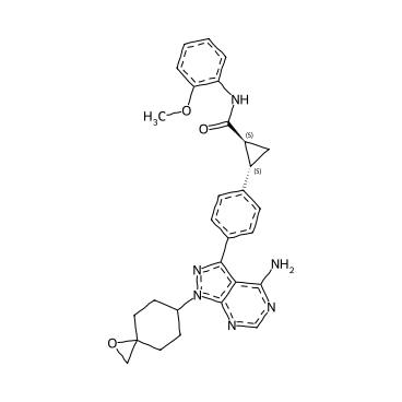 COc1ccccc1NC(=O)[C@H]1C[C@@H]1c1ccc(-c2nn(C3CCC4(CC3)CO4)c3ncnc(N)c23)cc1